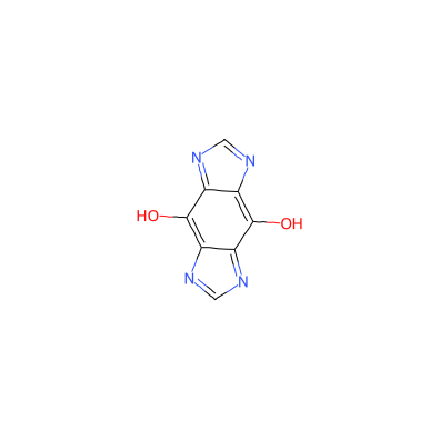 Oc1c2c(c(O)c3c1=NC=N3)=NC=N2